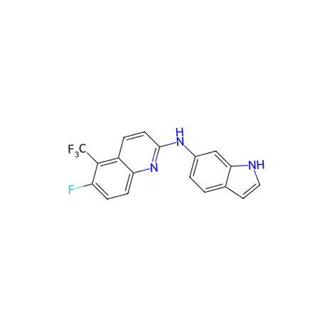 Fc1ccc2nc(Nc3ccc4cc[nH]c4c3)ccc2c1C(F)(F)F